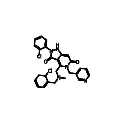 CN(CC1=CC=CCC1Cl)Cc1c2c(=O)n(-c3ccccc3Cl)[nH]c2cc(=O)n1Cc1cccnc1